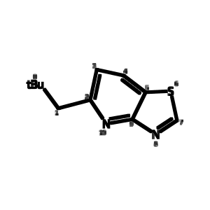 CC(C)(C)Cc1ccc2scnc2n1